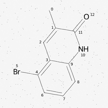 Cc1cc2c(Br)cccc2[nH]c1=O